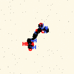 C[C@]1(CN2CCC3(CC2)CC(CCNc2cccc4c2C(=O)N(C2CCC(=O)NC2=O)C4O)C3)Cc2cc(NC(=O)c3cnn4cccnc34)c(N3CCOCC3)cc2O1